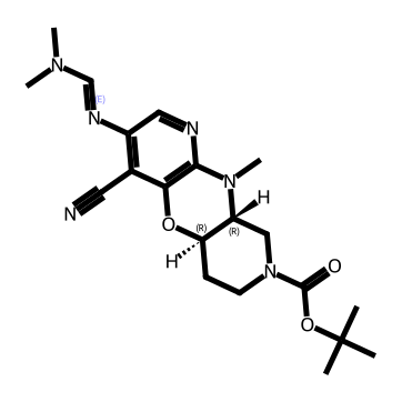 CN(C)/C=N/c1cnc2c(c1C#N)O[C@@H]1CCN(C(=O)OC(C)(C)C)C[C@H]1N2C